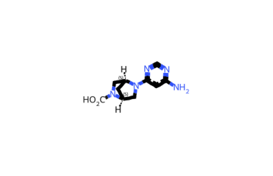 Nc1cc(N2C[C@@H]3C[C@H]2CN3C(=O)O)ncn1